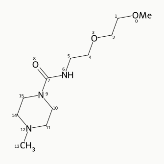 COCCOCCNC(=O)N1CCN(C)CC1